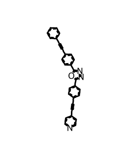 C(#Cc1ccc(-c2nnc(-c3ccc(C#Cc4ccncc4)cc3)o2)cc1)c1ccccc1